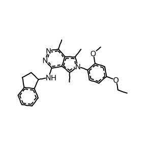 CCOc1ccc(-n2c(C)c3c(C)nnc(NC4CCc5ccccc54)c3c2C)c(OC)c1